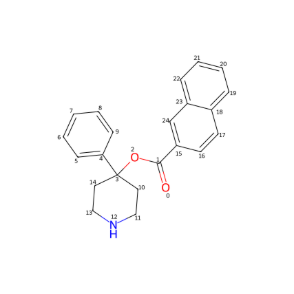 O=C(OC1(c2ccccc2)CCNCC1)c1ccc2ccccc2c1